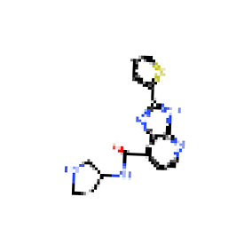 O=C(NC1CCNC1)c1ccnc2[nH]c(-c3cccs3)nc12